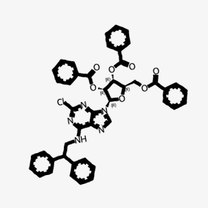 O=C(OC[C@H]1O[C@@H](n2cnc3c(NCC(c4ccccc4)c4ccccc4)nc(Cl)nc32)[C@H](OC(=O)c2ccccc2)[C@@H]1OC(=O)c1ccccc1)c1ccccc1